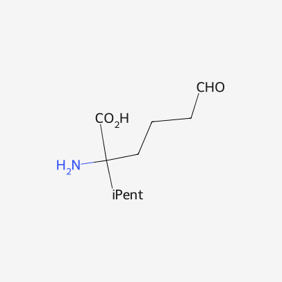 CCCC(C)C(N)(CCCC=O)C(=O)O